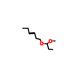 CCC=CCCOC(CC)OC